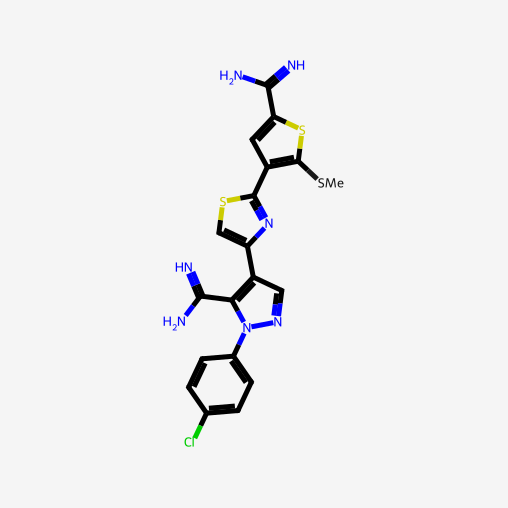 CSc1sc(C(=N)N)cc1-c1nc(-c2cnn(-c3ccc(Cl)cc3)c2C(=N)N)cs1